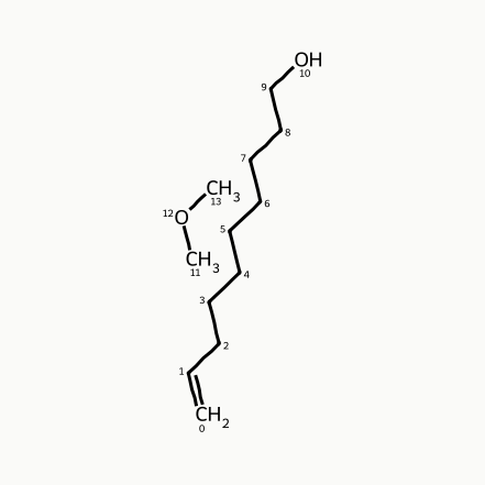 C=CCCCCCCCCO.COC